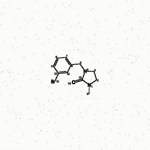 CN1CCN(Cc2cccc(Br)c2)C1=O